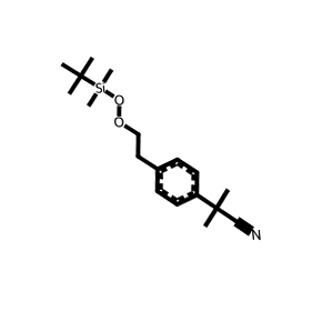 CC(C)(C#N)c1ccc(CCOO[Si](C)(C)C(C)(C)C)cc1